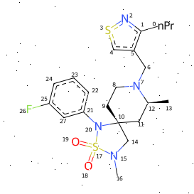 CCCc1nscc1CN1CC[C@@]2(C[C@@H]1C)CN(C)S(=O)(=O)N2c1cccc(F)c1